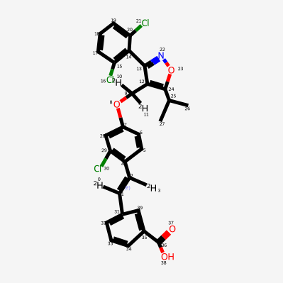 [2H]/C(=C(/[2H])c1ccc(OC([2H])([2H])c2c(-c3c(Cl)cccc3Cl)noc2C(C)C)cc1Cl)c1cccc(C(=O)O)c1